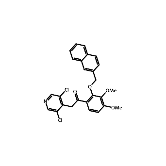 COc1ccc(C(=O)Cc2c(Cl)cncc2Cl)c(OCc2ccc3ccccc3c2)c1OC